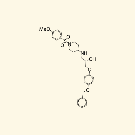 COc1ccc(S(=O)(=O)N2CCC(NC[C@H](O)COc3ccc(OCc4ccccc4)cc3)CC2)cc1